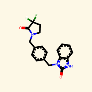 O=C1N(Cc2ccc(Cn3c(=O)[nH]c4ccccc43)cc2)CCC1(F)F